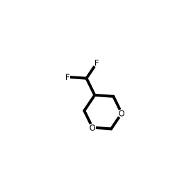 FC(F)C1COCOC1